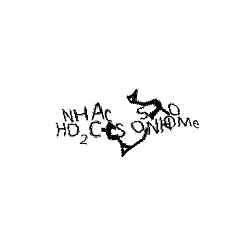 COC(=O)c1cc(C2CC2)sc1NC(=O)CC1CC1c1cc(C(=O)O)c(NC(C)=O)s1